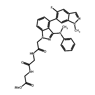 COC(=O)CNC(=O)CNC(=O)Cn1nc(N(C)c2ccccc2)c2c(-c3cc4c(cnn4C)cc3F)cccc21